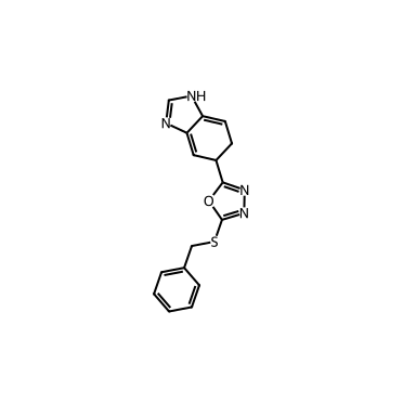 C1=c2nc[nH]c2=CCC1c1nnc(SCc2ccccc2)o1